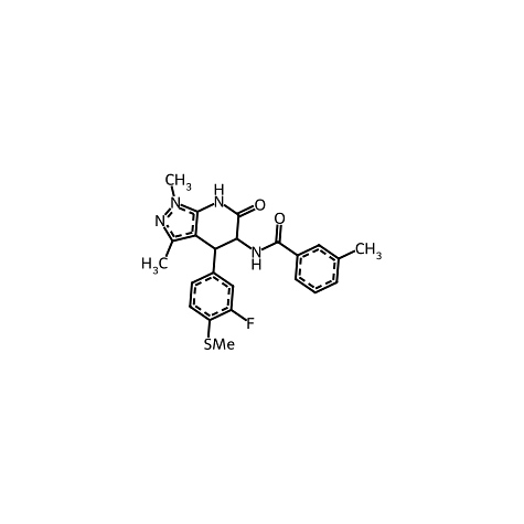 CSc1ccc(C2c3c(C)nn(C)c3NC(=O)C2NC(=O)c2cccc(C)c2)cc1F